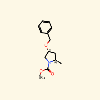 C[C@@H]1C[C@@H](OCc2ccccc2)CN1C(=O)OC(C)(C)C